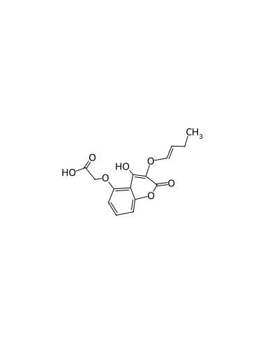 CC/C=C/Oc1c(O)c2c(OCC(=O)O)cccc2oc1=O